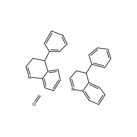 C1=Nc2ccccc2C(c2ccccc2)C1.C1=Nc2ccccc2C(c2ccccc2)C1.C=O